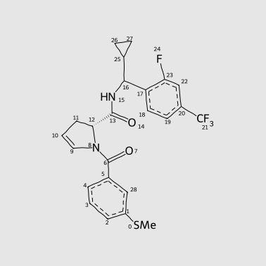 CSc1cccc(C(=O)N2C=CC[C@@H]2C(=O)NC(c2ccc(C(F)(F)F)cc2F)C2CC2)c1